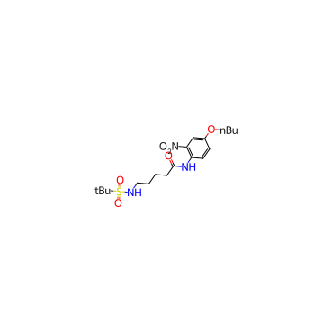 CCCCOc1ccc(NC(=O)CCCCNS(=O)(=O)C(C)(C)C)c([N+](=O)[O-])c1